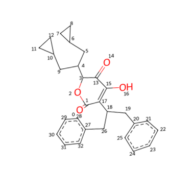 O=C1OC(C(CC2CC2)CC2CC2)C(=O)C(O)=C1C(Cc1ccccc1)Cc1ccccc1